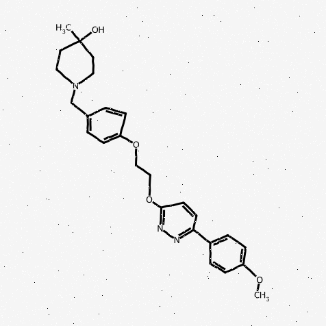 COc1ccc(-c2ccc(OCCOc3ccc(CN4CCC(C)(O)CC4)cc3)nn2)cc1